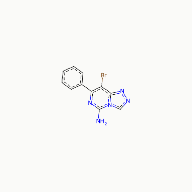 Nc1nc(-c2ccccc2)c(Br)c2nncn12